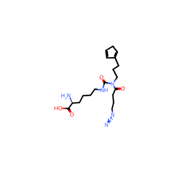 [N-]=[N+]=NCCCC(=O)N(CCCC1=CCC=C1)C(=O)NCCCC[C@H](N)C(=O)O